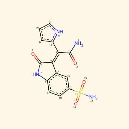 NC(=O)C(=C1C(=O)Nc2ccc(S(N)(=O)=O)cc21)c1ccc[nH]1